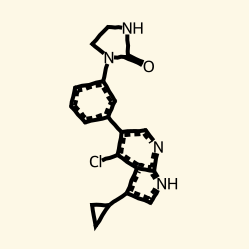 O=C1NCCN1c1cccc(-c2cnc3[nH]cc(C4CC4)c3c2Cl)c1